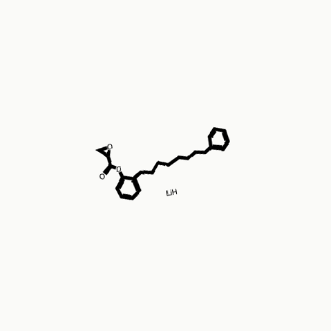 O=C(Oc1ccccc1CCCCCCCCc1ccccc1)C1CO1.[LiH]